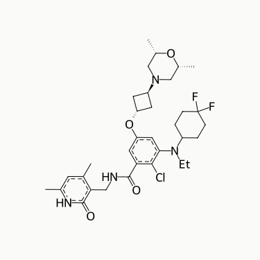 CCN(c1cc(O[C@H]2C[C@H](N3C[C@@H](C)O[C@@H](C)C3)C2)cc(C(=O)NCc2c(C)cc(C)[nH]c2=O)c1Cl)C1CCC(F)(F)CC1